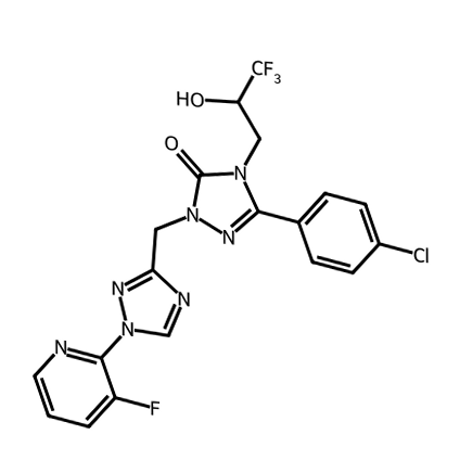 O=c1n(Cc2ncn(-c3ncccc3F)n2)nc(-c2ccc(Cl)cc2)n1CC(O)C(F)(F)F